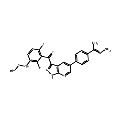 CCCSNc1ccc(F)c(C(=O)c2n[nH]c3ncc(-c4ccc(/C(N)=N/N)cc4)cc23)c1F